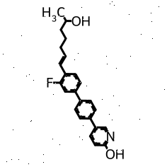 CC(O)CCC/C=C/c1ccc(-c2ccc(-c3ccc(O)nc3)cc2)cc1F